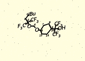 CCC(C)CC(OCOC1CCC(C(O)(C(F)(F)F)C(F)(F)F)CC1)(C(F)(F)F)C(F)(F)F